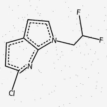 FC(F)Cn1ccc2ccc(Cl)nc21